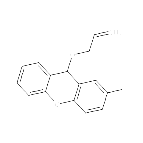 C=CCOC1c2ccccc2Oc2ccc(F)cc21